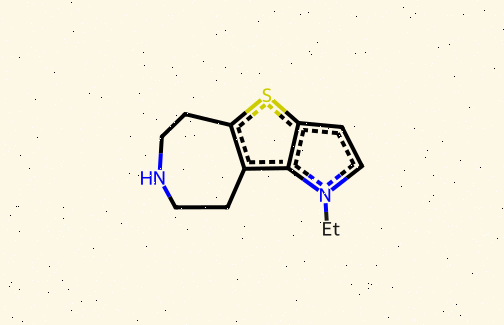 CCn1ccc2sc3c(c21)CCNCC3